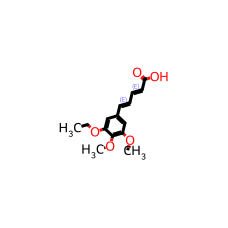 CCOc1cc(/C=C/C=C/C(=O)O)cc(OC)c1OC